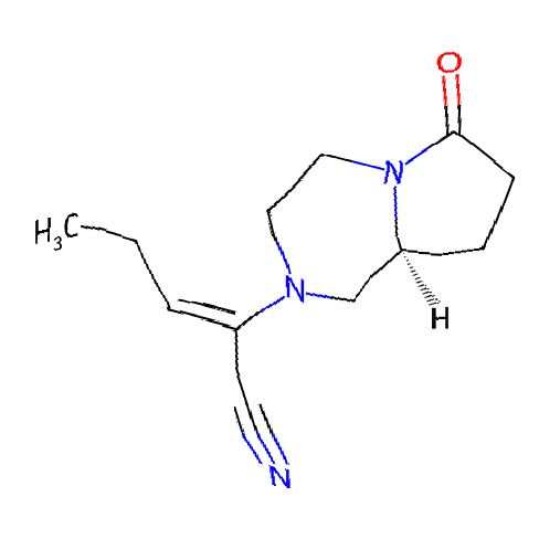 CC/C=C(/C#N)N1CCN2C(=O)CC[C@H]2C1